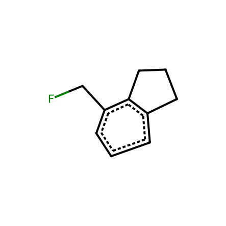 FCc1cccc2c1CCC2